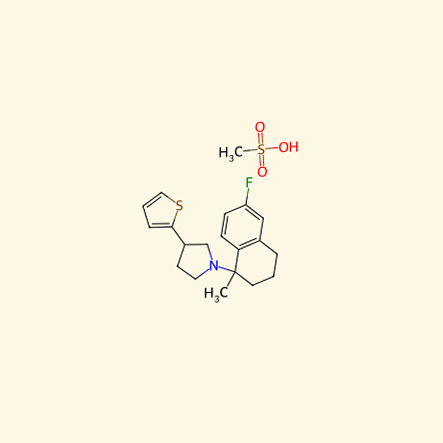 CC1(N2CCC(c3cccs3)C2)CCCc2cc(F)ccc21.CS(=O)(=O)O